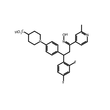 Cc1cc(C(CC(c2ccc(N3CCC(C(=O)O)CC3)cc2)c2ccc(F)cc2F)=NO)ccn1